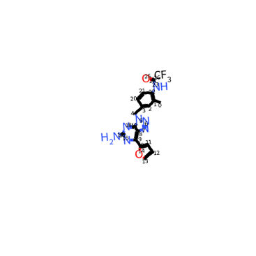 Cc1cc(Cn2nnc3c(-c4ccco4)nc(N)nc32)ccc1NC(=O)C(F)(F)F